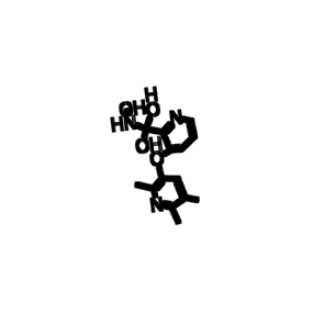 Cc1cc(Oc2cccnc2C(O)(O)NO)c(C)nc1C